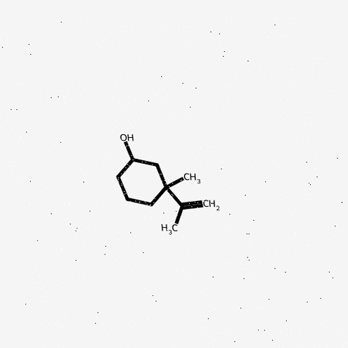 C=C(C)C1(C)CCCC(O)C1